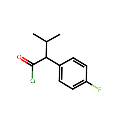 CC(C)C(C(=O)Cl)c1ccc(F)cc1